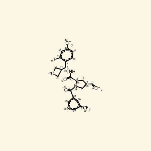 C=C[C@@H]1C[C@H](C(=O)N[C@@H](c2ccc(C(F)(F)F)cc2F)C2COC2)N(C(=O)c2cncc(C(F)(F)F)c2)C1